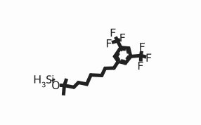 CC(C)(CCCCCCCc1cc(C(F)(F)F)cc(C(F)(F)F)c1)O[SiH3]